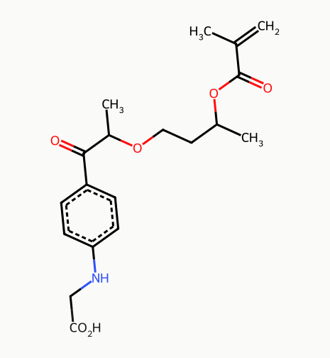 C=C(C)C(=O)OC(C)CCOC(C)C(=O)c1ccc(NCC(=O)O)cc1